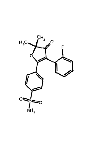 CC1(C)OC(c2ccc(S(N)(=O)=O)cc2)=C(c2ccccc2F)C1=O